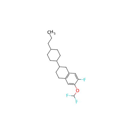 CCCC1CCC(C2CCc3cc(OC(F)F)c(F)cc3C2)CC1